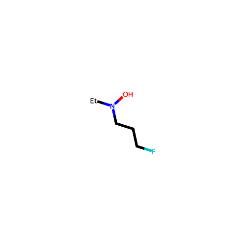 CCN(O)CCCF